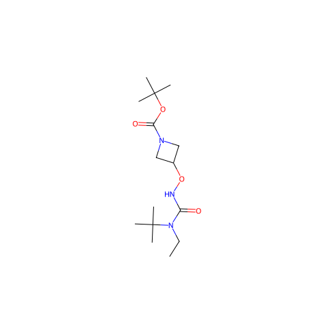 CCN(C(=O)NOC1CN(C(=O)OC(C)(C)C)C1)C(C)(C)C